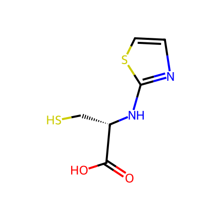 O=C(O)[C@H](CS)Nc1nccs1